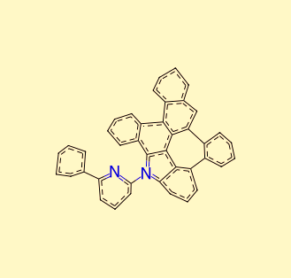 c1ccc(-c2cccc(-n3c4cccc5c4c4c6c(cc7ccccc7c6c6ccccc6c43)-c3ccccc3-5)n2)cc1